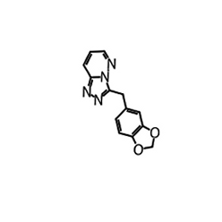 c1cnn2c(Cc3ccc4c(c3)OCO4)nnc2c1